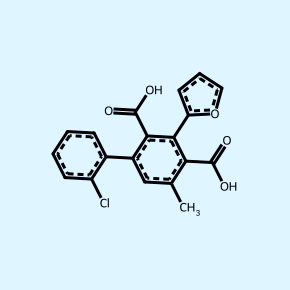 Cc1cc(-c2ccccc2Cl)c(C(=O)O)c(-c2ccco2)c1C(=O)O